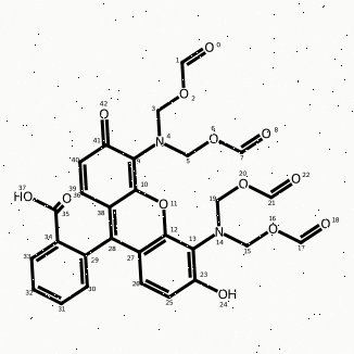 O=COCN(COC=O)c1c2oc3c(N(COC=O)COC=O)c(O)ccc3c(-c3ccccc3C(=O)O)c-2ccc1=O